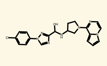 OC(NC1CCN(c2nccn3cccc23)C1)c1ncn(-c2ccc(Cl)cc2)n1